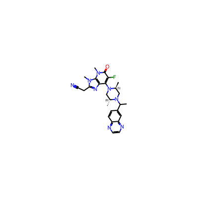 CC(c1ccc2nccnc2c1)N1C[C@H](C)N(c2c(F)c(=O)n(C)c3c2nc(CC#N)n3C)C[C@H]1C